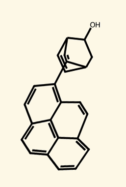 OC1CC2C=CC1C=C2c1ccc2ccc3cccc4ccc1c2c34